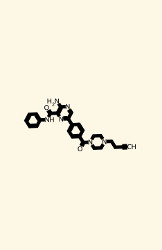 C#CCCN1CCN(C(=O)c2ccc(-c3cnc(N)c(C(=O)Nc4ccccc4)n3)cc2)CC1